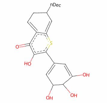 CCCCCCCCCCC1C=c2sc(C3=CC(O)C(O)C(O)=C3)c(O)c(=O)c2=CC1